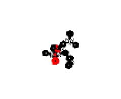 c1ccc(-c2nc(-c3ccccc3)nc(-c3ccc4c5ccc(-c6nc(-c7ccccc7)nc(-c7ccccc7)n6)cc5n(-c5ccc(-c6ccc7oc8ccccc8c7c6)cc5-c5nc(-c6ccccc6)nc(-c6ccccc6)n5)c4c3)n2)cc1